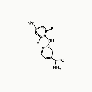 CCCc1cc(F)c(NN2C=CC=C(C(N)=O)C2)c(F)c1